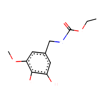 CCOC(=O)NCc1cc(O)c(O)c(OC)c1